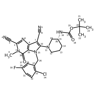 Cn1c(C#N)nc2c(C#N)c(N3CCC[C@@H](NC(=O)OC(C)(C)C)C3)n(Cc3cc(F)ccc3Cl)c2c1=O